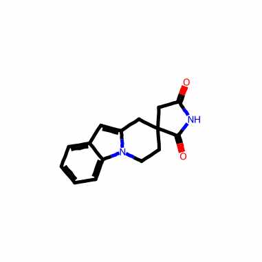 O=C1CC2(CCn3c(cc4ccccc43)C2)C(=O)N1